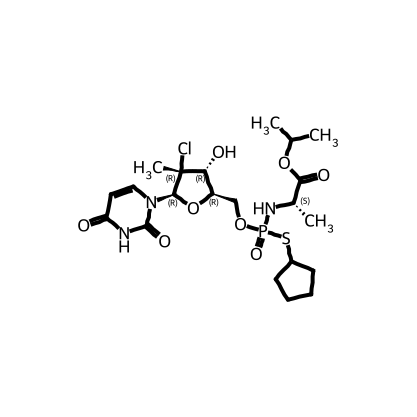 CC(C)OC(=O)[C@H](C)NP(=O)(OC[C@H]1O[C@@H](n2ccc(=O)[nH]c2=O)[C@](C)(Cl)[C@@H]1O)SC1CCCC1